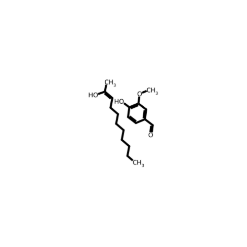 CCCCCCCCC=C(C)O.COc1cc(C=O)ccc1O